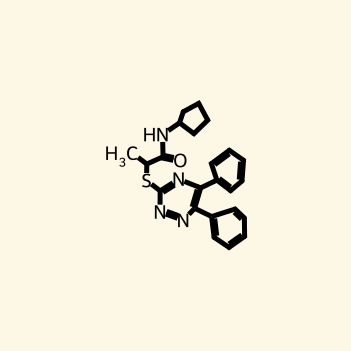 CC(Sc1nnc(-c2ccccc2)c(-c2ccccc2)n1)C(=O)NC1CCCC1